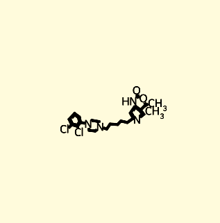 CC1(C)OC(=O)Nc2cc(CCCCCN3CCN(c4cccc(Cl)c4Cl)CC3)ncc21